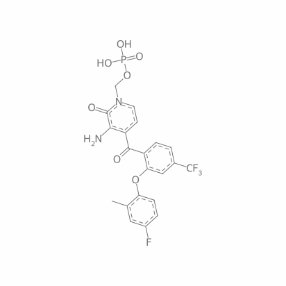 Cc1cc(F)ccc1Oc1cc(C(F)(F)F)ccc1C(=O)c1ccn(COP(=O)(O)O)c(=O)c1N